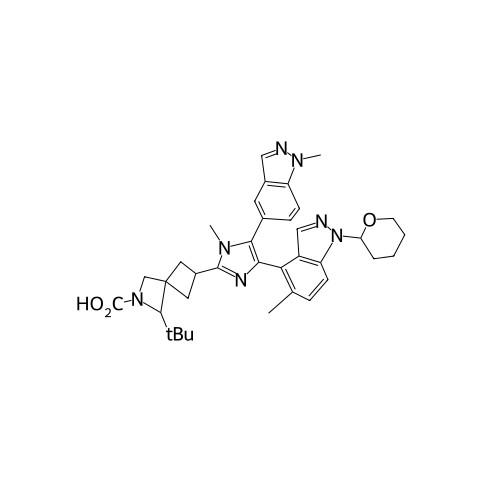 Cc1ccc2c(cnn2C2CCCCO2)c1-c1nc(C2CC3(C2)CN(C(=O)O)C3C(C)(C)C)n(C)c1-c1ccc2c(cnn2C)c1